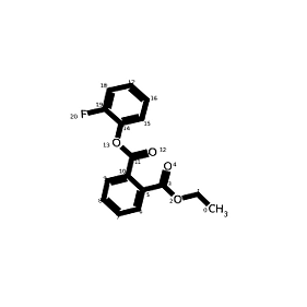 CCOC(=O)c1ccccc1C(=O)Oc1ccccc1F